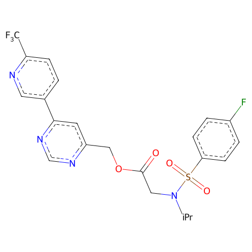 CC(C)N(CC(=O)OCc1cc(-c2ccc(C(F)(F)F)nc2)ncn1)S(=O)(=O)c1ccc(F)cc1